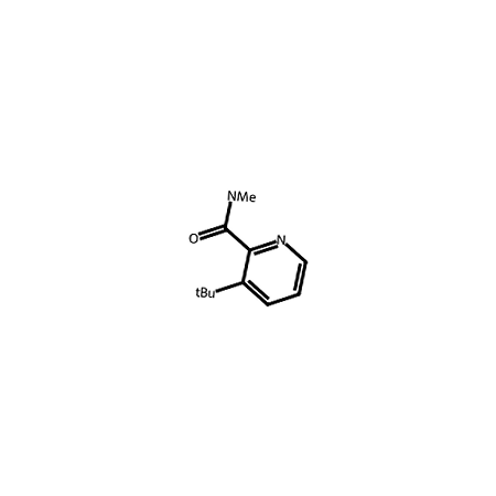 CNC(=O)c1ncccc1C(C)(C)C